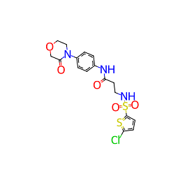 O=C(CCNS(=O)(=O)c1ccc(Cl)s1)Nc1ccc(N2CCOCC2=O)cc1